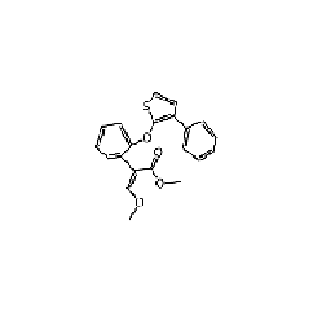 COC=C(C(=O)OC)c1ccccc1Oc1sccc1-c1ccccc1